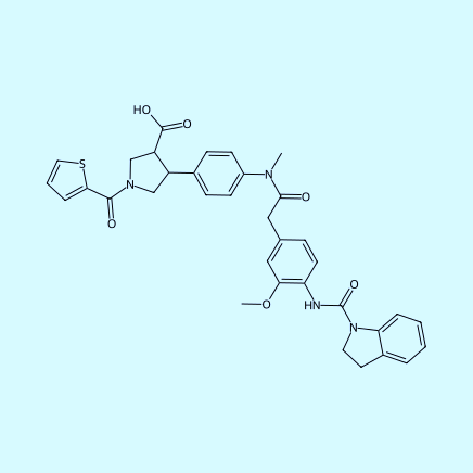 COc1cc(CC(=O)N(C)c2ccc(C3CN(C(=O)c4cccs4)CC3C(=O)O)cc2)ccc1NC(=O)N1CCc2ccccc21